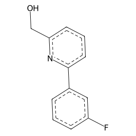 OCc1cccc(-c2cccc(F)c2)n1